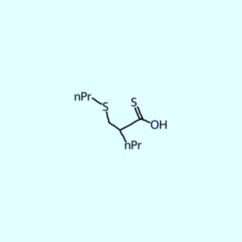 CCCSCC(CCC)C(O)=S